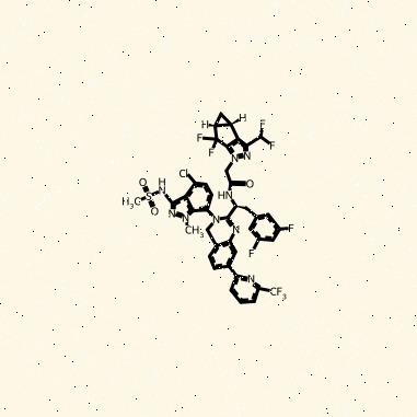 Cn1nc(NS(C)(=O)=O)c2c(Cl)ccc(N3Cc4ccc(-c5cccc(C(F)(F)F)n5)cc4N=C3[C@H](Cc3cc(F)cc(F)c3)NC(=O)Cn3nc(C(F)F)c4c3C(F)(F)[C@@H]3C[C@H]43)c21